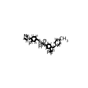 CN1CCN(Cc2ccc(NC(=O)NCc3ccc(-n4ccnc4)c(F)c3)cc2C(F)(F)F)CC1